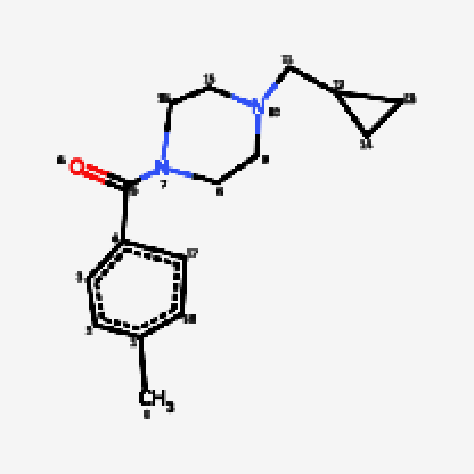 Cc1ccc(C(=O)N2CCN(CC3CC3)CC2)cc1